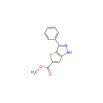 COC(=O)c1cc2[nH]nc(-c3ccccc3)c2s1